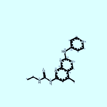 CCNC(=O)Nc1cc(C)c2cnc(Nc3ccncc3)nc2n1